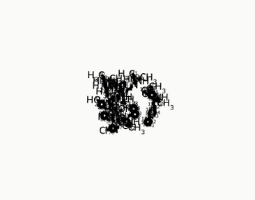 CCNC(=NCCCC[C@H](NC(=O)[C@H](CC(C)C)NC(=O)[C@@H](CCCCN=C(NCC)NCC)NC(=O)[C@H](Cc1ccc(O)cc1)NC(=O)[C@H](CO)NC(=O)[C@@H](Cc1cccnc1)NC(=O)[C@@H](Cc1ccc(Cl)cc1)NC(=O)[C@@H](Cc1cccc2ccccc12)NC(C)=O)C(=O)N1CCC[C@H]1C(=O)N[C@H](C)C(N)=O)NCC.COc1cc2[nH]c(C)c(CCN3CCN(c4ccccc4)CC3)c2cc1OC